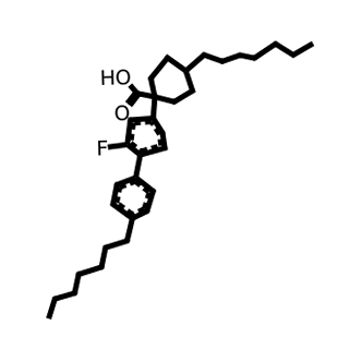 CCCCCCCc1ccc(-c2ccc(C3(C(=O)O)CCC(CCCCCCC)CC3)cc2F)cc1